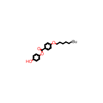 CCC(C)CCCCCOc1ccc(C(=O)Oc2ccc(O)cc2)cc1